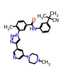 Cc1ccc(C(=O)Nc2cccc(C(C)(C)C#N)c2)cc1-n1cc(-c2cncc(N3CCN(C)CC3)c2)nn1